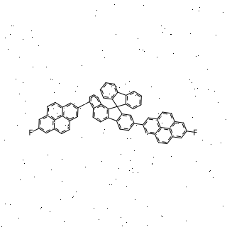 Fc1cc2ccc3cc(-c4ccc5c(c4)C4(c6ccccc6-c6ccccc64)c4c-5ccc5c(-c6cc7ccc8cc(F)cc9ccc(c6)c7c89)cccc45)cc4ccc(c1)c2c34